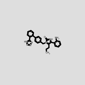 CCCc1c(-c2ccccc2N)[nH]c(=O)n1Cc1ccc(-c2ccccc2-c2nnn[nH]2)cc1